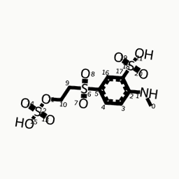 CNc1ccc(S(=O)(=O)CCOS(=O)(=O)O)cc1S(=O)(=O)O